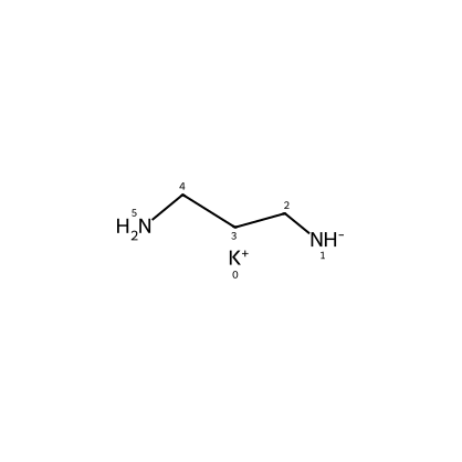 [K+].[NH-]CCCN